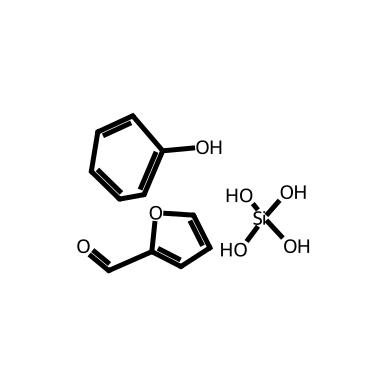 O=Cc1ccco1.O[Si](O)(O)O.Oc1ccccc1